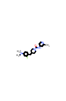 Cc1cc(NC(=O)N2CCC(=Cc3ccc(N(C)C)cc3F)CC2)ccn1